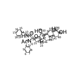 CC(=O)N(Cc1ccccc1)C(C(=O)NCc1ccccc1)C1C[C@@H](C)[C@H]2C(O1)[C@H](O)[C@@]1(C)C3CC[C@H]4C(C)(C)C(O)CCC45CC35CCC21C